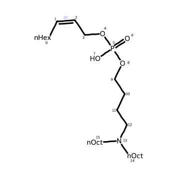 CCCCCC/C=C\COP(=O)(O)OCCCCN(CCCCCCCC)CCCCCCCC